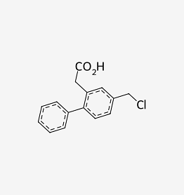 O=C(O)Cc1cc(CCl)ccc1-c1ccccc1